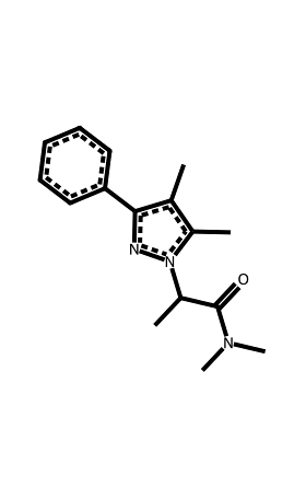 Cc1c(-c2ccccc2)nn(C(C)C(=O)N(C)C)c1C